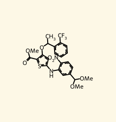 COC(=O)c1sc(Nc2cc(C(OC)OC)ccc2[N+](=O)[O-])cc1OC(C)c1ccccc1C(F)(F)F